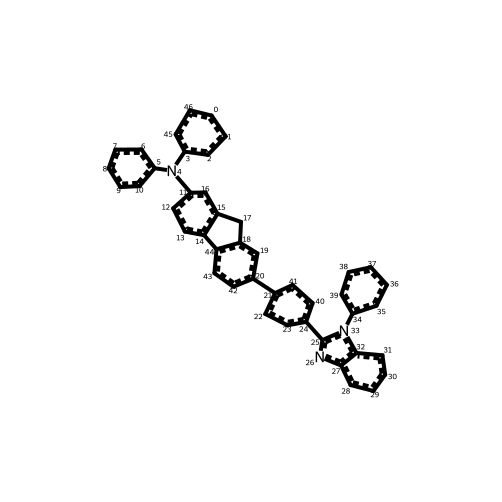 c1ccc(N(c2ccccc2)c2ccc3c(c2)Cc2cc(-c4ccc(-c5nc6ccccc6n5-c5ccccc5)cc4)ccc2-3)cc1